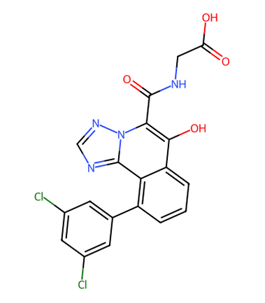 O=C(O)CNC(=O)c1c(O)c2cccc(-c3cc(Cl)cc(Cl)c3)c2c2ncnn12